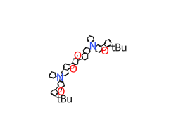 CC(C)(C)c1cccc2c1oc1ccc(N(c3ccccc3)c3ccc4c(ccc5c6cc7oc8c9ccc(N(c%10ccccc%10)c%10ccc%11oc%12c(C(C)(C)C)cccc%12c%11c%10)cc9ccc8c7cc6oc45)c3)cc12